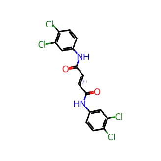 O=C(/C=C/C(=O)Nc1ccc(Cl)c(Cl)c1)Nc1ccc(Cl)c(Cl)c1